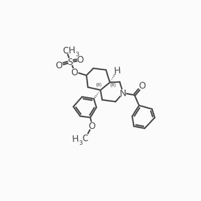 COc1cccc([C@@]23CCN(C(=O)c4ccccc4)C[C@@H]2CCC(OS(C)(=O)=O)C3)c1